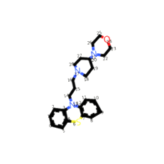 c1ccc2c(c1)Sc1ccccc1N2CCCN1CCC(N2CCOCC2)CC1